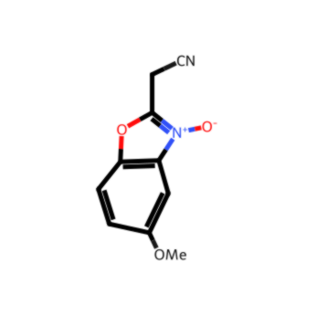 COc1ccc2oc(CC#N)[n+]([O-])c2c1